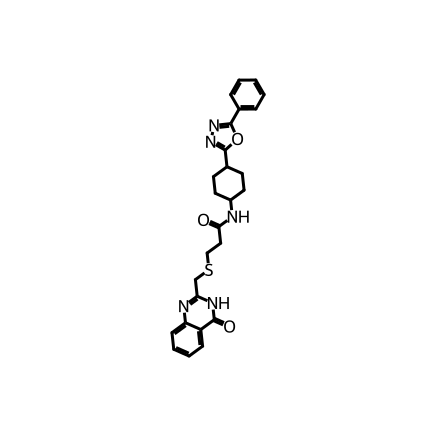 O=C(CCSCc1nc2ccccc2c(=O)[nH]1)NC1CCC(c2nnc(-c3ccccc3)o2)CC1